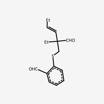 CCC=CC(C=O)(CC)CSc1ccccc1C=O